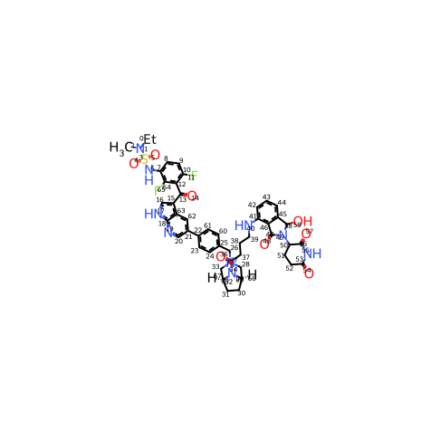 CCN(C)S(=O)(=O)Nc1ccc(F)c(C(=O)c2c[nH]c3ncc(-c4ccc(CN5C[C@H]6CC[C@@H](C5)N6C(=O)CCCNc5cccc6c5C(=O)N(C5CCC(=O)NC5=O)C6O)cc4)cc23)c1F